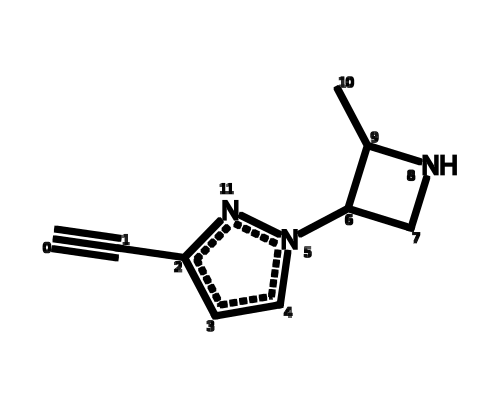 C#Cc1ccn(C2CNC2C)n1